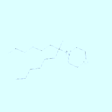 CCCCCCC(C)(CCCCCC)N1CCOCC1